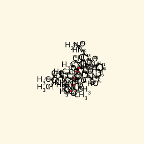 CCC1N[C@H](C(=O)N[C@H](C(=O)N(C)C([C@@H](C)CC)[C@@H](CC(=O)N2CCC[C@H]2[C@H](OC)[C@@H](C)C(=O)N[C@H](CO)Cc2cccc(NC(=O)[C@H](CCCNC(N)=O)NC(=O)C(NC(=O)CCOCCN3C(=O)C=CC3=O)C(C)C)c2)OC)C(C)C)C(C)[C@@H]1C